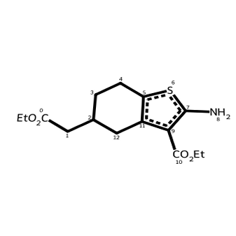 CCOC(=O)CC1CCc2sc(N)c(C(=O)OCC)c2C1